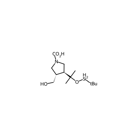 CC(C)(C)[SiH2]OC(C)(C)[C@@H]1CN(C(=O)O)C[C@H]1CO